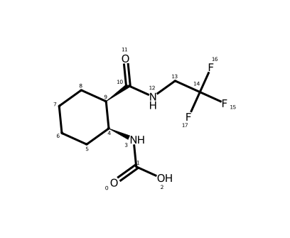 O=C(O)N[C@H]1CCCC[C@H]1C(=O)NCC(F)(F)F